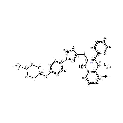 N/C(Cc1nc(-c2ccc(CN3CCC(C(=O)O)CC3)cc2)no1)=C(/c1ccncc1)N(N)c1ccccc1F